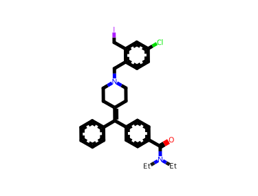 CCN(CC)C(=O)c1ccc(C(=C2CCN(Cc3ccc(Cl)cc3CI)CC2)c2ccccc2)cc1